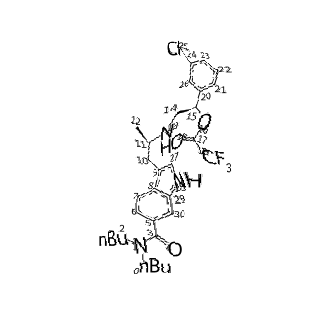 CCCCN(CCCC)C(=O)c1ccc2c(C[C@@H](C)NC[C@H](OC(=O)C(F)(F)F)c3cccc(Cl)c3)c[nH]c2c1